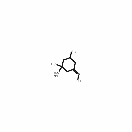 CC1CC(=NO)CC(C)(C)C1.[NaH]